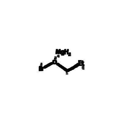 CCCOBr.[MgH2]